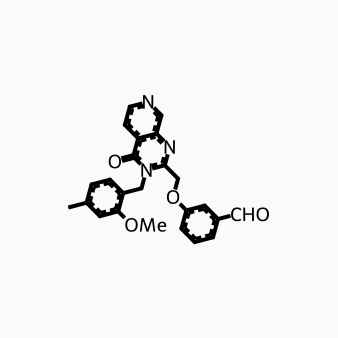 COc1cc(C)ccc1Cn1c(COc2cccc(C=O)c2)nc2cnccc2c1=O